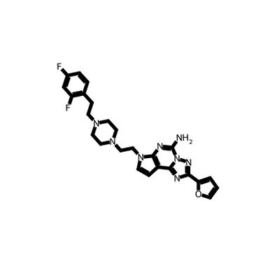 Nc1nc2c(ccn2CCN2CCN(CCc3ccc(F)cc3F)CC2)c2nc(-c3ccco3)nn12